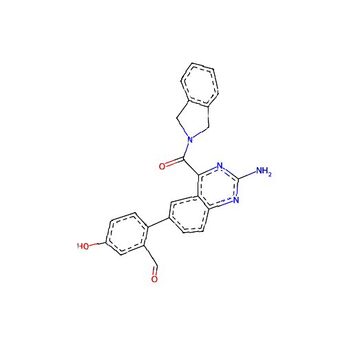 Nc1nc(C(=O)N2Cc3ccccc3C2)c2cc(-c3ccc(O)cc3C=O)ccc2n1